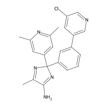 CC1=NC(c2cccc(-c3cncc(Cl)c3)c2)(c2cc(C)nc(C)c2)N=C1N